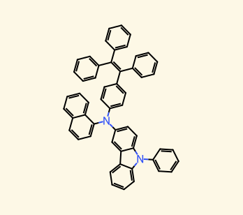 c1ccc(C(=C(c2ccccc2)c2ccc(N(c3ccc4c(c3)c3ccccc3n4-c3ccccc3)c3cccc4ccccc34)cc2)c2ccccc2)cc1